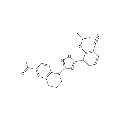 CC(=O)c1ccc2c(c1)CCCN2c1noc(-c2cccc(C#N)c2OC(C)C)n1